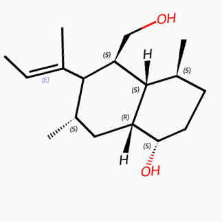 C/C=C(\C)C1[C@@H](CO)[C@H]2[C@@H](C[C@@H]1C)[C@@H](O)CC[C@@H]2C